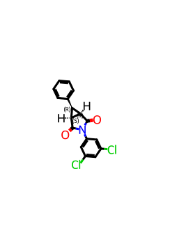 O=C1[C@@H]2[C@H](C(=O)N1c1cc(Cl)cc(Cl)c1)[C@@H]2c1ccccc1